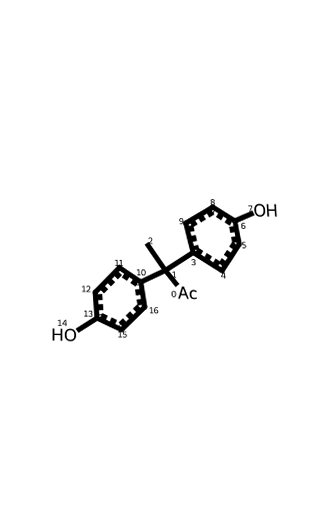 CC(=O)C(C)(c1ccc(O)cc1)c1ccc(O)cc1